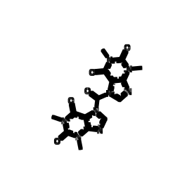 Cn1c(=O)c2c(ncn2C(=O)n2cnc3c2c(=O)n(C)c(=O)n3C)n(C)c1=O